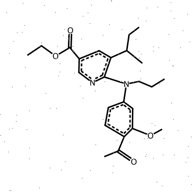 CCCN(c1ccc(C(C)=O)c(OC)c1)c1ncc(C(=O)OCC)cc1C(C)CC